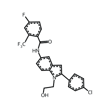 O=C(Nc1ccc2c(c1)cc(-c1ccc(Cl)cc1)n2CCO)c1ccc(F)cc1C(F)(F)F